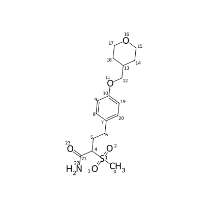 CS(=O)(=O)C(CCc1ccc(OCC2CCOCC2)cc1)C(N)=O